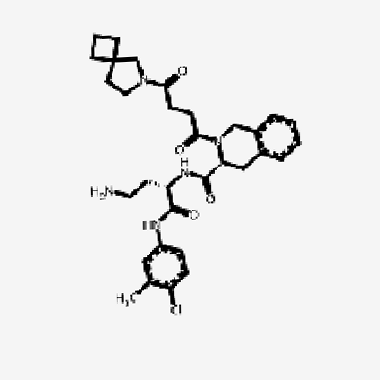 Cc1cc(NC(=O)[C@H](CCN)NC(=O)[C@@H]2Cc3ccccc3CN2C(=O)CCC(=O)N2CCC3(CCC3)C2)ccc1Cl